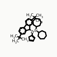 CC(C)(C)c1ccc2c(c1)[CH]([Zr]([C]1=CC=CC1)=[Si](C1CCCCCC1)C1CCCCCC1)c1cc(C(C)(C)C)ccc1-2